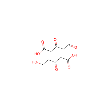 O=C(O)CC(=O)CCO.O=CCC(=O)CC(=O)O